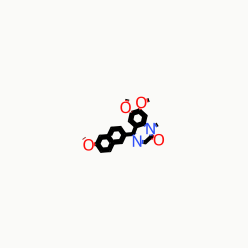 COc1ccc2cc(C3=NCC(=O)N(C)c4cc(OC)c(OC)cc43)ccc2c1